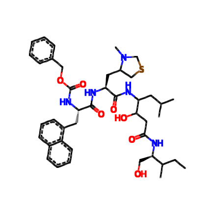 CCC(C)[C@@H](CO)NC(=O)CC(O)C(CC(C)C)NC(=O)[C@H](CC1CSCN1C)NC(=O)[C@H](Cc1cccc2ccccc12)NC(=O)OCc1ccccc1